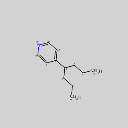 O=C(O)CCC(CCC(=O)O)c1ccncc1